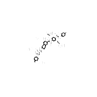 Cc1ccc(/N=N/c2cc(OCCO)c(/N=N/c3c(S(=O)(=O)O)cc4cc(/N=N/C5C(=O)N(c6ccc(S(=O)(=O)O)cc6)N=C5C(=O)O)ccc4c3O)cc2OCCO)c(S(=O)(=O)O)c1